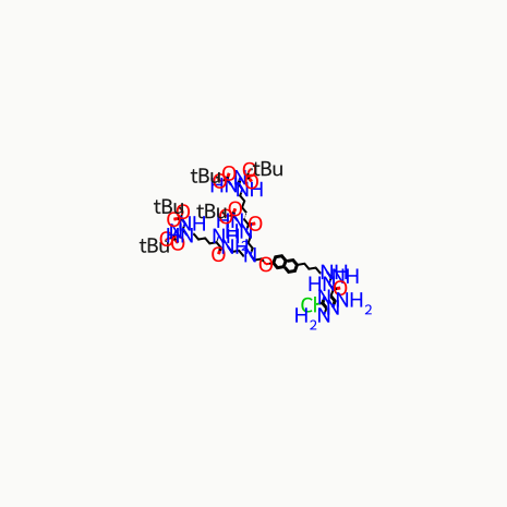 CC(C)(C)OC(=O)/N=C(\NCCCC[C@@H](N)C(=O)NCCCN(CCCNC(=O)[C@@H](CCCCN/C(=N\C(=O)OC(C)(C)C)NC(=O)OC(C)(C)C)NC(=O)OC(C)(C)C)CCOc1ccc2cc(CCCCNC(=N)NC(=O)c3nc(Cl)c(N)nc3N)ccc2c1)NC(=O)OC(C)(C)C